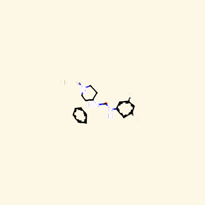 O=C(Nc1cc(C(F)(F)F)cc(C(F)(F)F)c1)N[C@@H]1CCN(C(=O)O)C[C@H]1c1ccccc1